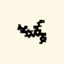 Cc1cnc(Nc2nc(NCCO)nc(Sc3ccc(NC(=O)C4CC4)cc3)n2)s1